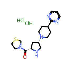 Cl.Cl.O=C([C@@H]1C[C@H](N2CCC(c3ncccn3)CC2)CN1)N1CCSC1